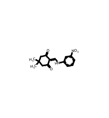 CC1(C)CC(=O)C(=CNc2cccc([N+](=O)[O-])c2)C(=O)C1